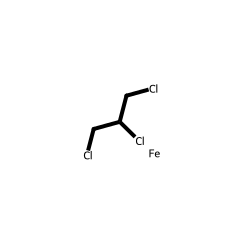 ClCC(Cl)CCl.[Fe]